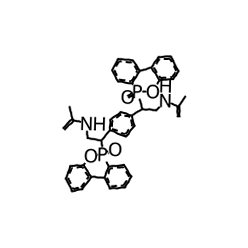 C=C(C)NCC(c1ccc(C(CNC(=C)C)P2(=O)Oc3ccccc3-c3ccccc32)cc1)P1(=O)Oc2ccccc2-c2ccccc21